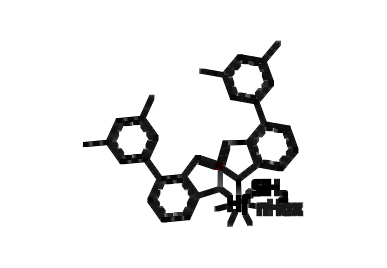 CCCCC[CH2][Hf]([CH3])([CH3])([CH3])(=[SiH2])([CH]1C=Cc2c(-c3cc(C)cc(C)c3)cccc21)[CH]1C=Cc2c(-c3cc(C)cc(C)c3)cccc21